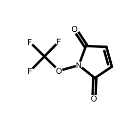 O=C1C=CC(=O)N1OC(F)(F)F